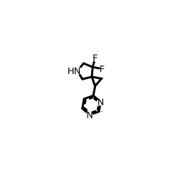 FC1(F)CNCC12CC2c1ccn[c]n1